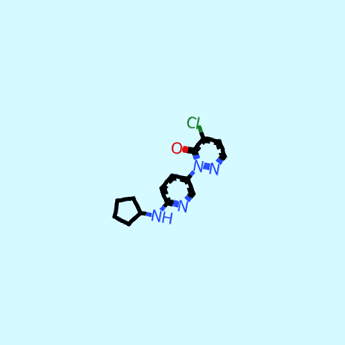 O=c1c(Cl)ccnn1-c1ccc(NC2CCCC2)nc1